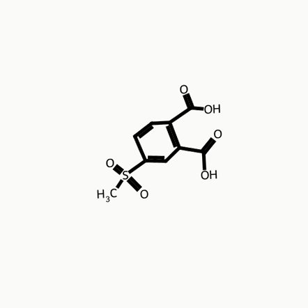 CS(=O)(=O)c1ccc(C(=O)O)c(C(=O)O)c1